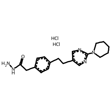 Cl.Cl.NNC(=O)Cc1ccc(CCc2cnc(N3CCCCC3)nc2)cc1